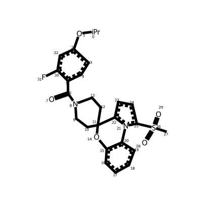 CC(C)Oc1ccc(C(=O)N2CCC3(CC2)Oc2ccccc2-n2c3ccc2S(C)(=O)=O)c(F)c1